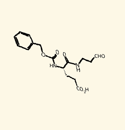 O=CCCNC(=O)[C@H](CCC(=O)O)NC(=O)OCc1ccccc1